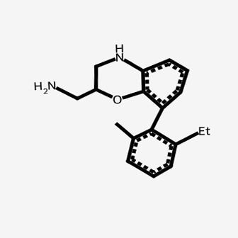 CCc1cccc(C)c1-c1cccc2c1OC(CN)CN2